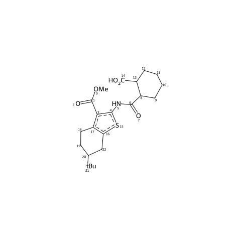 COC(=O)c1c(NC(=O)C2CCCCC2C(=O)O)sc2c1CCC(C(C)(C)C)C2